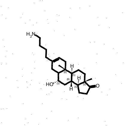 C[C@]12CC=C(CCCCN)CC1[C@@H](O)C[C@@H]1[C@@H]2CC[C@]2(C)C(=O)CC[C@@H]12